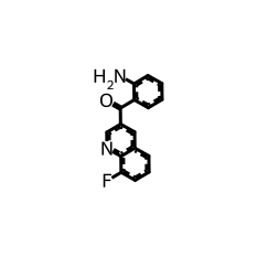 Nc1ccccc1C(=O)c1cnc2c(F)cccc2c1